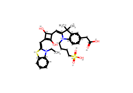 CCN1C(=CC2=C(O)C(C=C3N(CCCCS(=O)(=O)O)c4ccc(CC(=O)O)cc4C3(C)C)C2O)Sc2ccccc21